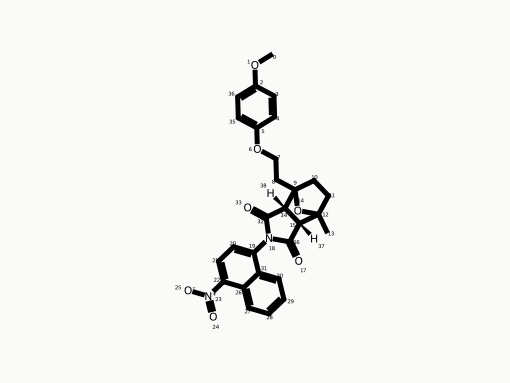 COc1ccc(OCCC23CCC(C)(O2)[C@@H]2C(=O)N(c4ccc([N+](=O)[O-])c5ccccc45)C(=O)[C@@H]23)cc1